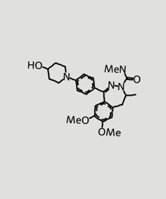 CNC(=O)N1N=C(c2ccc(N3CCC(O)CC3)cc2)c2cc(OC)c(OC)cc2CC1C